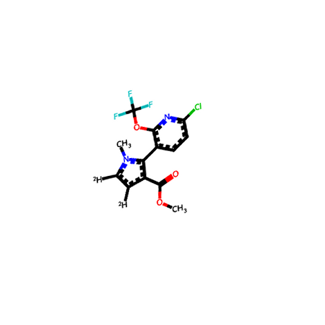 [2H]c1c(C(=O)OC)c(-c2ccc(Cl)nc2OC(F)(F)F)n(C)c1[2H]